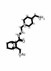 CC(=O)OCC1C2CCC(O2)C1C(=O)N=NCN1CCC(CN)CC1